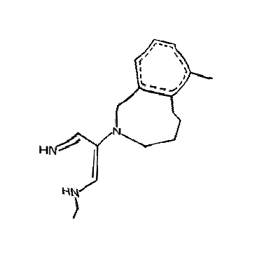 CN/C=C(\C=N)N1CCCc2c(C)cccc2C1